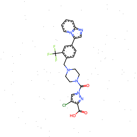 O=C(O)c1nn(C(=O)N2CCN(Cc3ccc(-c4cnc5ccccn45)cc3C(F)(F)F)CC2)cc1Cl